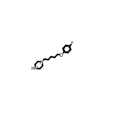 Fc1ccc(OCCCCCN2CCNCC2)cc1